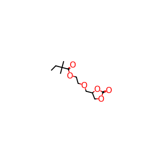 CCC(C)(C)C(=O)OCCOCC1COC(=O)O1